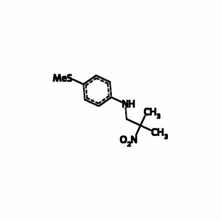 CSc1ccc(NCC(C)(C)[N+](=O)[O-])cc1